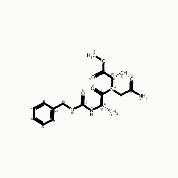 COC(=O)[C@H](C)N(CC(N)=O)C(=O)[C@H](C)NC(=O)OCc1ccccc1